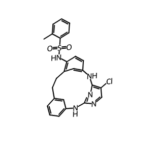 Cc1ccccc1S(=O)(=O)Nc1ccc2cc1CCc1cccc(c1)Nc1ncc(Cl)c(n1)N2